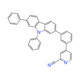 N#Cc1cc(-c2cccc(-c3ccc4c5ccc(-c6ccccc6)cc5n(-c5ccccc5)c4c3)c2)ccn1